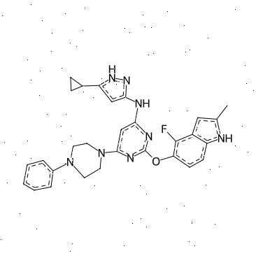 Cc1cc2c(F)c(Oc3nc(Nc4cc(C5CC5)[nH]n4)cc(N4CCN(c5ccccc5)CC4)n3)ccc2[nH]1